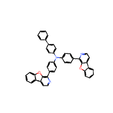 c1ccc(-c2ccc(N(c3ccc(-c4nccc5c4oc4ccccc45)cc3)c3ccc(-c4nccc5c4oc4ccccc45)cc3)cc2)cc1